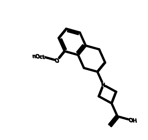 C=C(O)C1CN(C2CCc3cccc(OCCCCCCCC)c3C2)C1